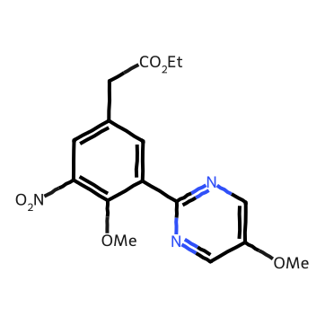 CCOC(=O)Cc1cc(-c2ncc(OC)cn2)c(OC)c([N+](=O)[O-])c1